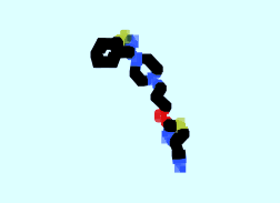 N#Cc1csc(OCCCN2CCN(c3nsc4ccccc34)CC2)n1